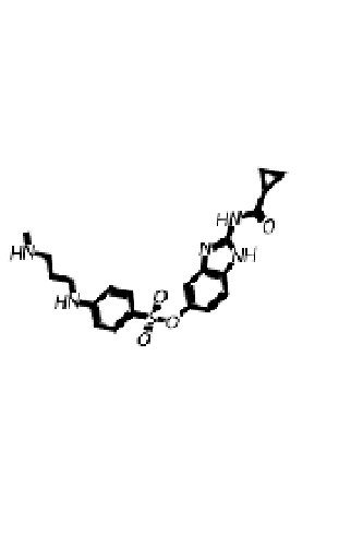 CNCCCNc1ccc(S(=O)(=O)Oc2ccc3[nH]c(NC(=O)C4CC4)nc3c2)cc1